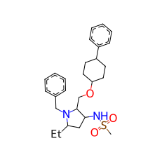 CCC1CC(NS(C)(=O)=O)C(COC2CCC(c3ccccc3)CC2)N1Cc1ccccc1